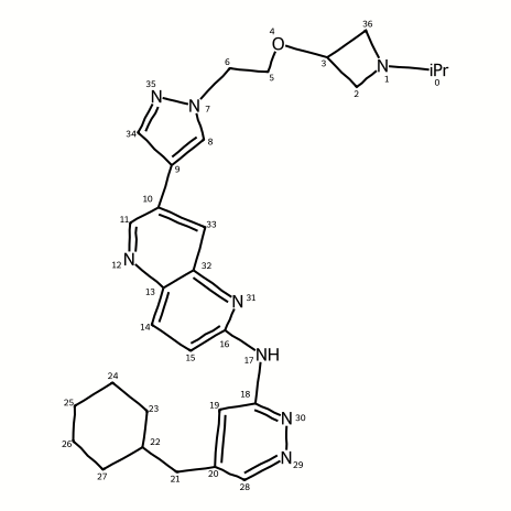 CC(C)N1CC(OCCn2cc(-c3cnc4ccc(Nc5cc(CC6CCCCC6)cnn5)nc4c3)cn2)C1